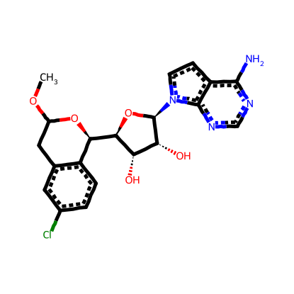 COC1Cc2cc(Cl)ccc2[C@H]([C@H]2O[C@@H](n3ccc4c(N)ncnc43)[C@H](O)[C@@H]2O)O1